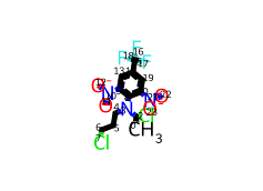 CC(Cl)N(CCCCl)c1c([N+](=O)[O-])cc(C(F)(F)F)cc1[N+](=O)[O-]